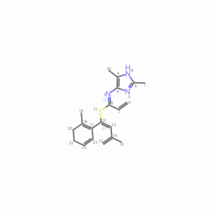 C=C/C(=N\c1nc(C)[nH]c1C)S/C(=C/C(=C)C)C1=C(C)CCC=C1